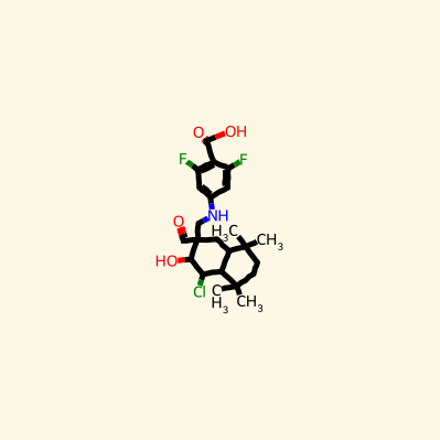 CC1(C)CCC(C)(C)C2C(Cl)C(O)C(C=O)(CNc3cc(F)c(C(=O)O)c(F)c3)CC21